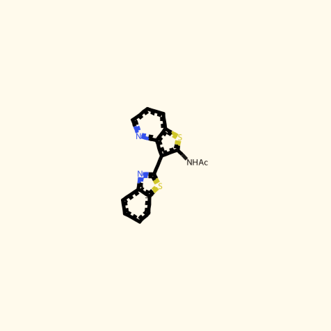 CC(=O)Nc1sc2cccnc2c1-c1nc2ccccc2s1